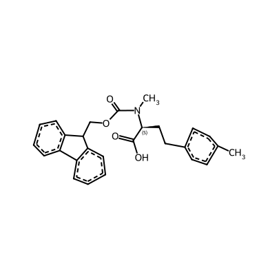 Cc1ccc(CC[C@@H](C(=O)O)N(C)C(=O)OCC2c3ccccc3-c3ccccc32)cc1